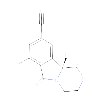 C#Cc1cc2c(c(C(F)(F)F)c1)C(=O)N1CCNC[C@@H]21